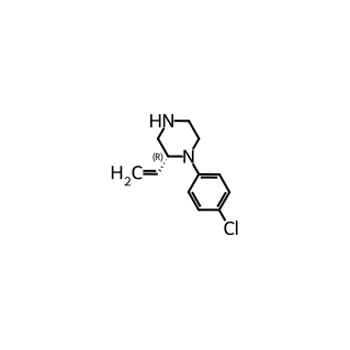 C=C[C@@H]1CNCCN1c1ccc(Cl)cc1